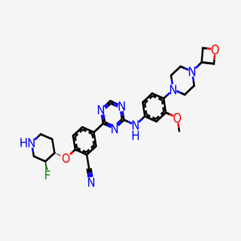 COc1cc(Nc2ncnc(-c3ccc(O[C@H]4CCNC[C@@H]4F)c(C#N)c3)n2)ccc1N1CCN(C2COC2)CC1